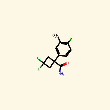 NC(=O)C1(c2ccc(F)c([N+](=O)[O-])c2)CC(F)(F)C1